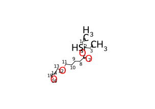 CC[SiH](CC)OC(=O)CCCCOCC1CO1